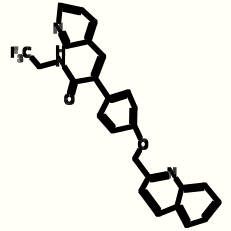 O=C(NCC(F)(F)F)C(=Cc1cccnc1)c1ccc(OCc2ccc3ccccc3n2)cc1